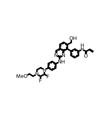 C=CC(=O)Nc1cccc(-c2c(CO)ccc3cnc(Nc4ccc(N5CCN(CCOC)C(F)C5F)cc4)nc23)c1